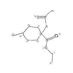 CCOC(=O)C1(CC(C)=O)CCC(C)CC1